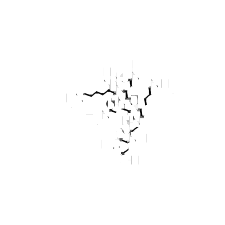 NCCCC[C@H](NC(=O)[C@H](CC(N)=O)NC(=O)[C@H](CC(N)=O)NC(=O)[C@@H](N)CCCCN)C(=O)NCC(=O)N[C@@H](CC(=O)O)C(=O)O